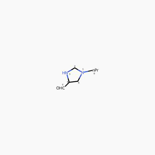 CCCN1CNC(C=O)C1